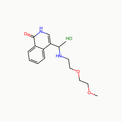 COCCOCCNC(C)c1c[nH]c(=O)c2ccccc12.Cl